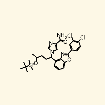 C[C@@H](CCC(c1cccc2oc(-c3ccc(Cl)c(Cl)c3)nc12)n1cnc(C(N)=O)c1)O[Si](C)(C)C(C)(C)C